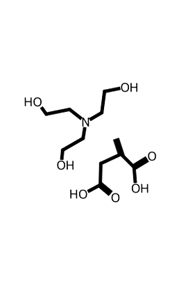 C=C(CC(=O)O)C(=O)O.OCCN(CCO)CCO